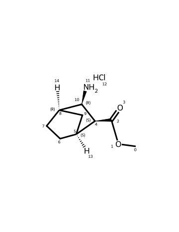 COC(=O)[C@H]1[C@H]2CC[C@H](C2)[C@H]1N.Cl